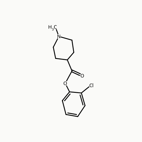 CN1CCC(C(=O)Oc2ccccc2Cl)CC1